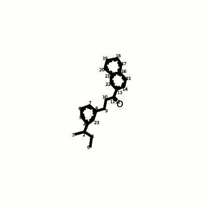 CCC(C)c1cccc(CCC(=O)c2ccc3ccccc3c2)c1